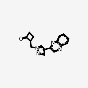 O=C1CCC1Cn1cc(-c2cnc3ccccc3n2)cn1